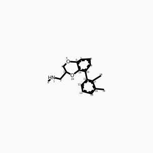 CNCC1COc2cccc(-c3cccc(C)c3C)c2O1